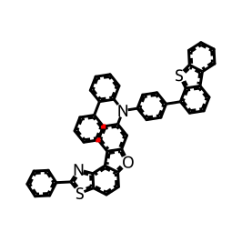 c1ccc(-c2nc3c(ccc4oc5cc(N(c6ccc(-c7cccc8c7sc7ccccc78)cc6)c6ccccc6-c6ccccc6)ccc5c43)s2)cc1